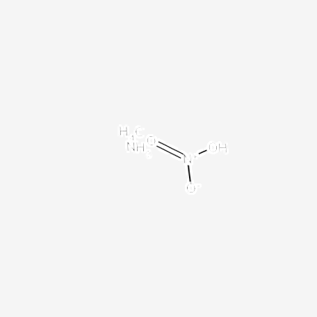 C.N.O=[N+]([O-])O